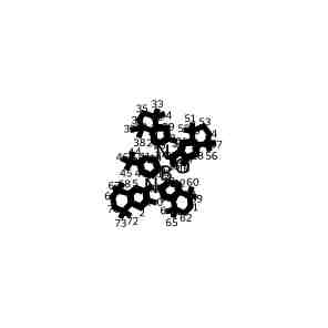 Cc1cc2c(cc1N1c3cc4c(cc3B3c5oc6cc7c(cc6c5N(c5cc6c(cc5C)C(C)(C)CCC6(C)C)c5cc(C(C)(C)C)cc1c53)C(C)(C)CCC7(C)C)C(C)(C)CCC4(C)C)C(C)(C)CCC2(C)C